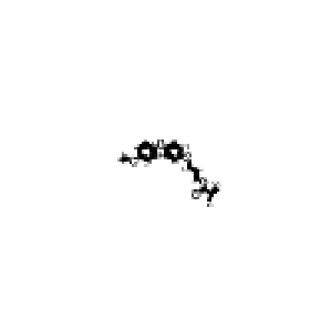 C=COc1ccc(Oc2ccc(OCCCOC(=O)C(=C)C)cc2)cc1